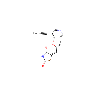 CC(C)(C)C#Cc1cncc2cc(C=C3SC(=O)NC3=O)oc12